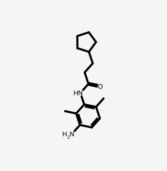 Cc1ccc(N)c(C)c1NC(=O)CCC1CCCC1